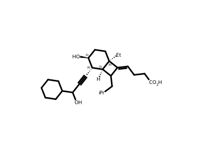 CC[C@@]12CC[C@H](O)[C@@H](C#CC(O)C3CCCCC3)[C@@H]1C(CC(C)C)C2=CCCC(=O)O